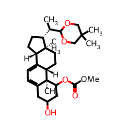 COC(=O)OC1CC(O)CC2=CC=C3[C@@H]4CC[C@H](C(C)C5OCC(C)(C)CO5)[C@@]4(C)CC[C@@H]3[C@]21C